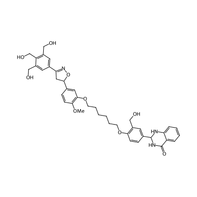 COc1ccc(C2CC(c3cc(CO)c(CO)c(CO)c3)=NO2)cc1OCCCCCCOc1ccc(C2NC(=O)c3ccccc3N2)cc1CO